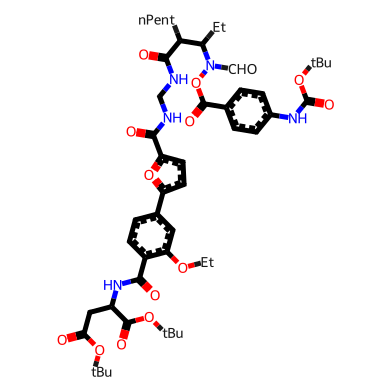 CCCCCC(C(=O)NCNC(=O)c1ccc(-c2ccc(C(=O)NC(CC(=O)OC(C)(C)C)C(=O)OC(C)(C)C)c(OCC)c2)o1)C(CC)N(C=O)OC(=O)c1ccc(NC(=O)OC(C)(C)C)cc1